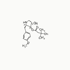 COc1ccc(C[C@H]2NC[C@H](O)[C@H]2OC(=O)CC(C)(C)O)cc1